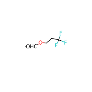 O=[C]OCCC(F)(F)F